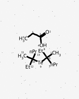 CCC(=O)O.CCCC(C)(CC)[Te]C(C)(CC)CCC